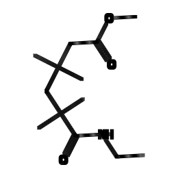 CCNC(=O)C(C)(C)CC(C)(C)CC(=O)OC